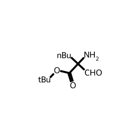 CCCCC(N)(C=O)C(=O)OC(C)(C)C